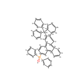 O=P(c1ccccc1)(c1ccccc1)c1ccc2c(c1)c1ccccc1c1cc3c(cc21)[Si](c1ccccc1)(c1ccccc1)c1ccccc1-3